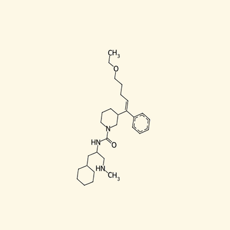 CCOCCCC=C(c1ccccc1)C1CCCN(C(=O)NC(CNC)CC2CCCCC2)C1